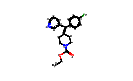 CCOC(=O)N1CCC(=C(c2ccc(F)cc2)c2cccnc2)CC1